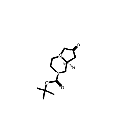 CC(C)(C)OC(=O)N1CCN2CC(=O)C[C@H]2C1